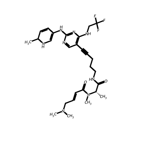 CC1C=CC(Nc2ncc(C#CCCCNC(=O)[C@H](C)N(C)C(=O)/C=C/CN(C)C)c(NCC(F)(F)F)n2)=CN1